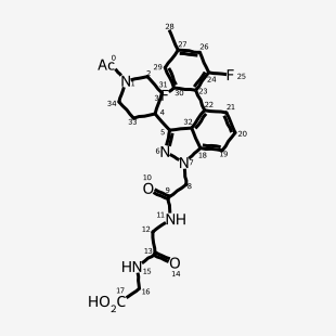 CC(=O)N1CCC(c2nn(CC(=O)NCC(=O)NCC(=O)O)c3cccc(-c4c(F)cc(C)cc4F)c23)CC1